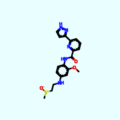 COc1cc(NCC[S+](C)[O-])ccc1NC(=O)c1cccc(-c2cc[nH]n2)n1